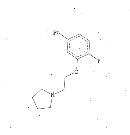 CC(C)c1ccc(F)c(OCCN2CCCC2)c1